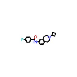 O=C(Nc1ccc2c(c1)CCN(C1CCC1)CC2)c1ccc(F)cc1